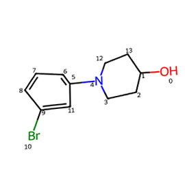 OC1CCN(c2cccc(Br)c2)CC1